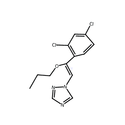 CCCO/C(=C\n1cncn1)c1ccc(Cl)cc1Cl